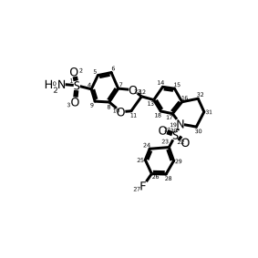 NS(=O)(=O)c1ccc2c(c1)OCC(c1ccc3c(c1)N(S(=O)(=O)c1ccc(F)cc1)CCC3)O2